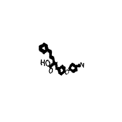 N#Cc1ccc(Oc2ccc(CCC(CCCc3ccccc3)C(=O)O)cc2)cc1